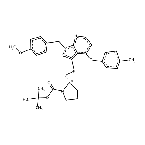 COc1ccc(Cn2nc(NC[C@@H]3CCCN3C(=O)OC(C)(C)C)c3c(Oc4ccc(C)cc4)ccnc32)cc1